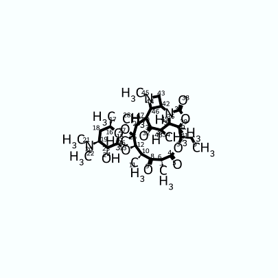 CC[C@H]1OC(=O)[C@H](C)C(=O)[C@H](C)[C@@H](O[C@@H]2O[C@H](C)C[C@H](N(C)C)[C@H]2O)[C@](C)(OC)C[C@@H]2C(=O)[C@H](C)[C@H]3N(C(=O)O[C@]13C)C1CN(C)C12